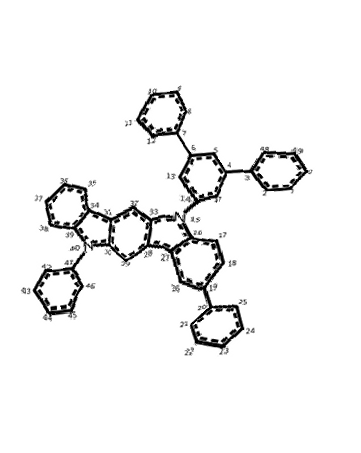 c1ccc(-c2cc(-c3ccccc3)cc(-n3c4ccc(-c5ccccc5)cc4c4cc5c(cc43)c3ccccc3n5-c3ccccc3)c2)cc1